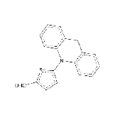 O=Cc1ccc(N2c3ccccc3Cc3ccccc32)s1